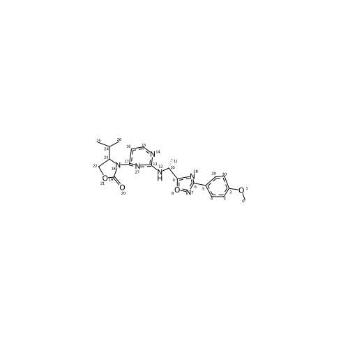 COc1ccc(-c2noc([C@@H](C)Nc3nccc(N4C(=O)OCC4C(C)C)n3)n2)cc1